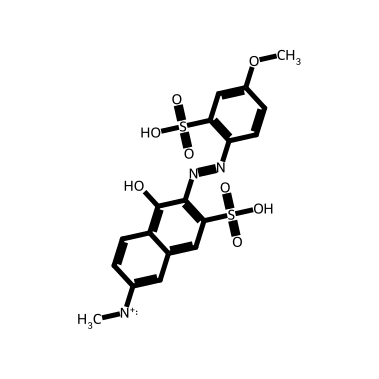 C[N+]c1ccc2c(O)c(N=Nc3ccc(OC)cc3S(=O)(=O)O)c(S(=O)(=O)O)cc2c1